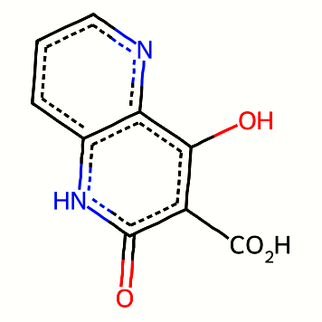 O=C(O)c1c(O)c2ncccc2[nH]c1=O